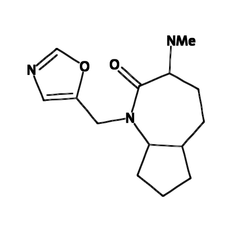 CNC1CCC2CCCC2N(Cc2cnco2)C1=O